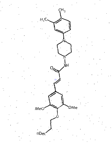 CCCCCCCCCCCCOc1c(OC)cc(/C=C/C(=O)NN2CCN(c3ccc(C)c(C)c3)CC2)cc1OC